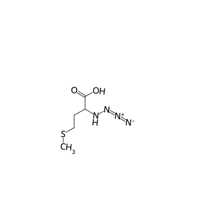 CSCCC(NN=[N+]=[N-])C(=O)O